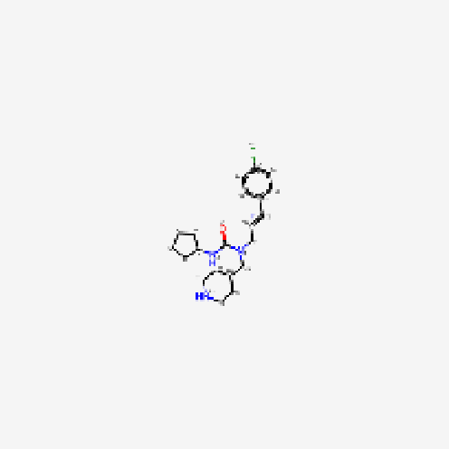 O=C(NC1CCCC1)N(C/C=C/c1ccc(F)cc1)CC1CCNCC1